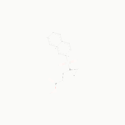 COC(=O)CCC1(S(=O)(=O)c2ccc3ccccc3c2)CC1